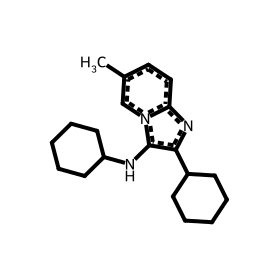 Cc1ccc2nc(C3CCCCC3)c(NC3CCCCC3)n2c1